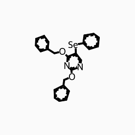 c1ccc(COc2ncc([Se]c3ccccc3)c(OCc3ccccc3)n2)cc1